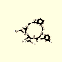 CCC[C@@H]1NC(=O)[C@@H](C(C)C)NC(=O)[C@@H](Cc2cccc(I)c2)NCCOc2ccccc2C(C)CCNC1=O